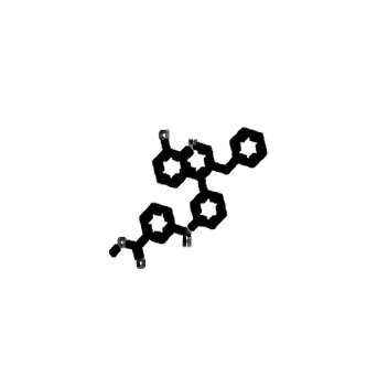 COC(=O)c1cccc(Nc2cccc(-c3c(Cc4ccccc4)cnc4c(Cl)cccc34)c2)c1